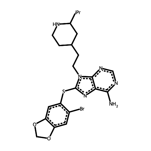 CC(C)C1CC(CCn2c(Sc3cc4c(cc3Br)OCO4)nc3c(N)ncnc32)CCN1